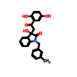 Cc1cccc(CN2C(=O)C(O)(CC(=O)c3cc(O)ccc3O)c3ccccc32)c1